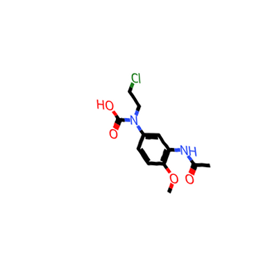 COc1ccc(N(CCCl)C(=O)O)cc1NC(C)=O